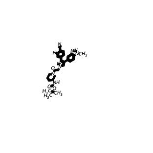 Cn1nnc2cc(-c3cn(CC(=O)N4CCC[C@@H](NC(=O)OC(C)(C)C)C4)nc3-c3ccc(C#N)c(F)c3)ccc21